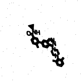 Cc1ccc(C(=O)NC2CC2)cc1-c1ccc2c(N3CCN(c4c(C)cccc4C)CC3)nncc2c1